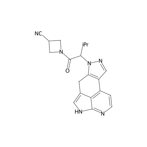 CC(C)C(C(=O)N1CC(C#N)C1)n1ncc2c1Cc1c[nH]c3nccc-2c13